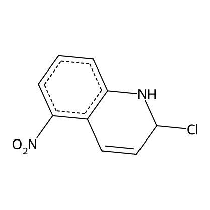 O=[N+]([O-])c1cccc2c1C=CC(Cl)N2